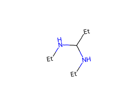 [CH2]CC(NCC)NCC